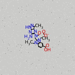 CCn1c(CN(C=O)c2nc3c(C)n[nH]c3nc2N)[n+](CC)c2ccc(C(=O)O)cc21.O=C[O-]